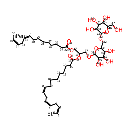 CC/C=C\C/C=C\C/C=C\CCCCCCCC(=O)OC(COC(=O)CCCCCCC/C=C\C/C=C\CCCCC)COC1OC(COC2OC(CO)C(O)C(O)C2O)C(O)C(O)C1O